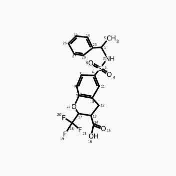 CC(NS(=O)(=O)c1ccc2c(c1)CC(C(=O)O)C(C(F)(F)F)O2)c1ccccc1